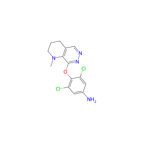 CN1CCCc2cnnc(Oc3c(Cl)cc(N)cc3Cl)c21